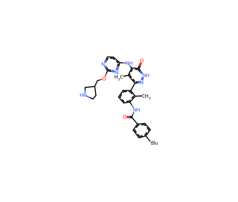 Cc1c(NC(=O)c2ccc(C(C)(C)C)cc2)cccc1-c1n[nH]c(=O)c(Nc2ccnc(OCC3CCNC3)n2)c1C